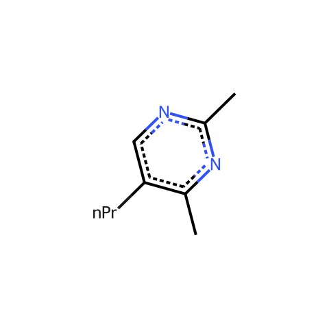 CCCc1cnc(C)nc1C